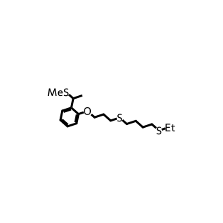 CCSCCCCSCCCOc1ccccc1C(C)SC